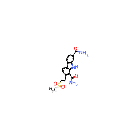 CS(=O)(=O)CCc1ccc2c([nH]c3cc(C(N)=O)ccc32)c1C(N)=O